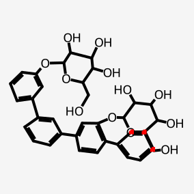 OCC1OC(Oc2cccc(-c3cccc(-c4ccc(-c5ccccc5)c(OC5OC(CO)C(O)C(O)C5O)c4)c3)c2)C(O)C(O)C1O